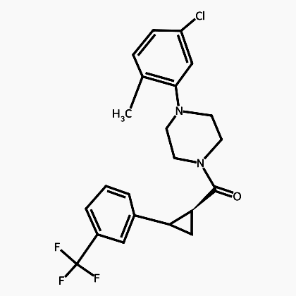 Cc1ccc(Cl)cc1N1CCN(C(=O)[C@H]2CC2c2cccc(C(F)(F)F)c2)CC1